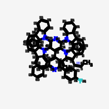 C=Cc1c(/C=C\C)c2ccccc2n1-c1c(-n2c3ccccc3c3ccccc32)nc(-n2c3ccccc3c3ccccc32)c(-n2c3ccccc3c3ccccc32)c1-c1cc(-c2ccccc2)nc(-c2ccc(F)cc2)c1